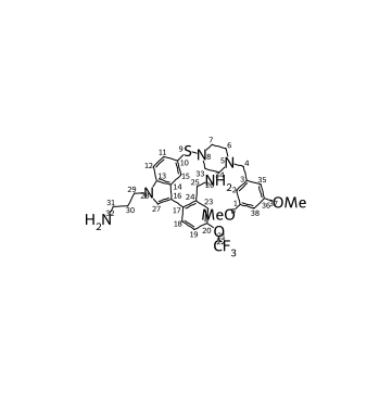 COc1cc(CN2CCN(Sc3ccc4c(c3)c(-c3ccc(OC(F)(F)F)cc3CN)cn4CCCN)CC2)cc(OC)c1